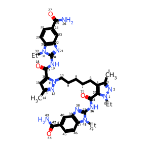 CCn1nc(C)c(CCCCCn2nc(C)cc2C(=O)Nc2nc3cc(C(N)=O)ccc3n2CC)c1C(=O)Nc1nc2cc(C(N)=O)ccc2n1CC